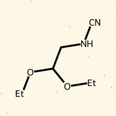 CCOC(CNC#N)OCC